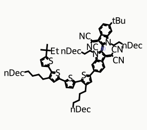 CCCCCCCCCCCCCCc1cc(-c2ccc3c(=C(C#N)C#N)/c(=c4/c(=C(C#N)C#N)c5ccc(C(C)(C)C)cc5n4CCCCCCCCCCCC)n(CCCCCCCCCCCC)c3c2)sc1-c1ccc(-c2cc(CCCCCCCCCCCCCC)c(-c3ccc(C(C)(C)CC)s3)s2)s1